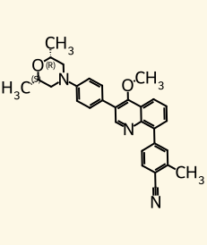 COc1c(-c2ccc(N3C[C@@H](C)O[C@@H](C)C3)cc2)cnc2c(-c3ccc(C#N)c(C)c3)cccc12